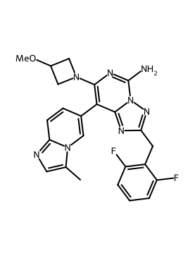 COC1CN(c2nc(N)n3nc(Cc4c(F)cccc4F)nc3c2-c2ccc3ncc(C)n3c2)C1